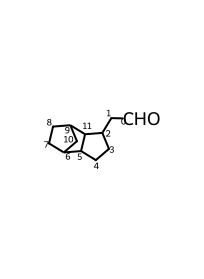 O=CCC1CCC2C3CCC(C3)C12